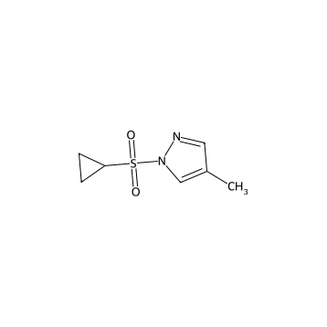 Cc1cnn(S(=O)(=O)C2CC2)c1